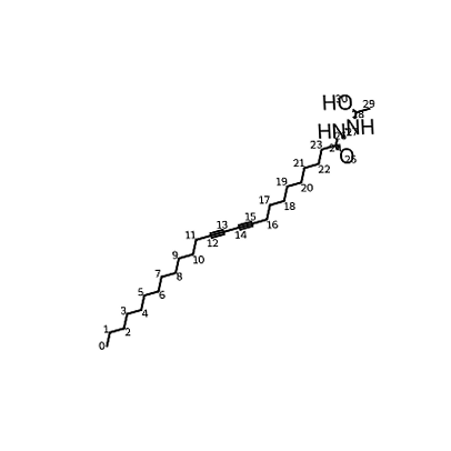 CCCCCCCCCCCCC#CC#CCCCCCCCCC(=O)NNC(C)O